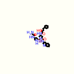 NCC(=O)N[C@@H]1CN[C@H](C(=O)N2C[C@H](NC(=O)C(O)CCc3ccccc3)C[C@H]2C(=O)Nc2cnc3ccccc3c2)C1